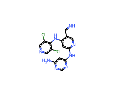 N=Cc1cnc(Nc2cc(N)ncn2)cc1Nc1c(Cl)cncc1Cl